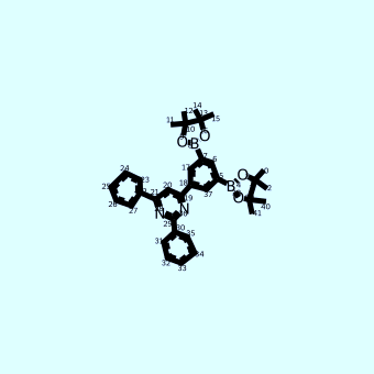 CC1(C)OB(c2cc(B3OC(C)(C)C(C)(C)O3)cc(-c3cc(-c4ccccc4)nc(-c4ccccc4)n3)c2)OC1(C)C